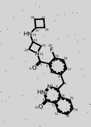 O=C(c1cc(Cc2n[nH]c(=O)c3ccccc23)ccc1F)N1CC(NC2CCC2)C1